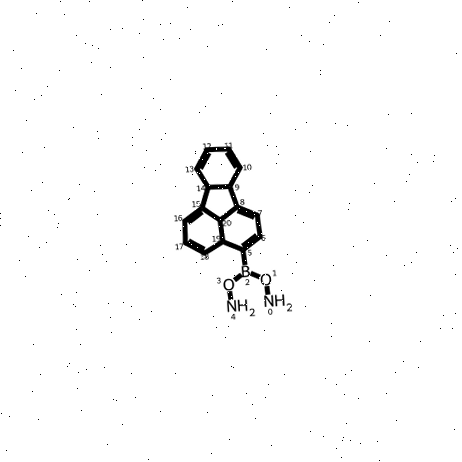 NOB(ON)C1=CC=C2C3C=CC=CC3C3=CC=CC1C32